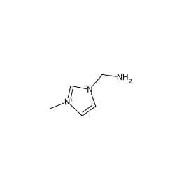 C[n+]1ccn(CN)c1